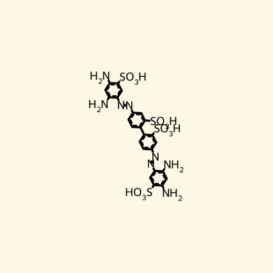 Nc1cc(N)c(S(=O)(=O)O)cc1N=Nc1ccc(-c2ccc(N=Nc3cc(S(=O)(=O)O)c(N)cc3N)cc2S(=O)(=O)O)c(S(=O)(=O)O)c1